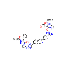 COC(=O)N[C@H](C(=O)N1CCC[C@H]1c1ncc(-c2ccc(-c3cc4ccc(-c5c[nH]c([C@@H]6CCCN6C(=O)[C@H](NC(=O)OC)c6ccccc6)n5)cc4cn3)cc2)[nH]1)C1CCOCC1